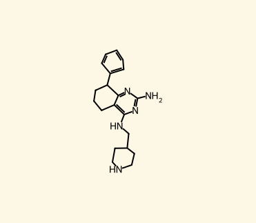 Nc1nc(NCC2CCNCC2)c2c(n1)C(c1ccccc1)CCC2